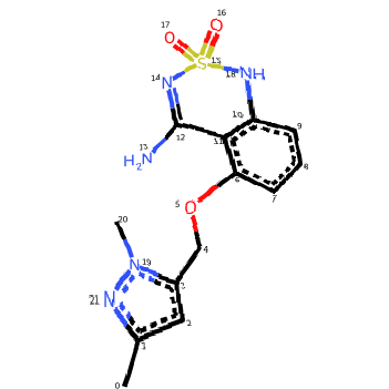 Cc1cc(COc2cccc3c2C(N)=NS(=O)(=O)N3)n(C)n1